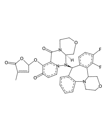 CC1=CC(Oc2c3n(ccc2=O)N([C@@H]2c4ccccc4N4CCOCC4c4c2ccc(F)c4F)[C@@H]2COCCN2C3=O)OC1=O